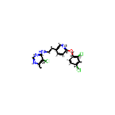 Cc1ncnc(NCCc2ccc(Oc3ccc(Cl)cc3Cl)nc2)c1Cl